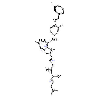 C=C/N=C1C=C(/C=C/CNC(=O)/C=C/CN(C)C)NC/1=C(/N)NC1C=C(Cl)C(OCc2cccc(F)c2)=CC1